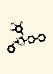 N#C/N=C(\N[C@H](Cc1cc(Br)c(O)c(Br)c1)C(=O)N1CCC(N2CCCCC2)CC1)Oc1ccccc1